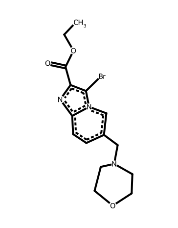 CCOC(=O)c1nc2ccc(CN3CCOCC3)cn2c1Br